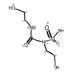 [NH]S(=O)(=O)N(CCO)C(=O)NCCO